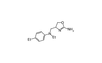 CCc1ccc(N(CC)CC2COC(N)=N2)cc1